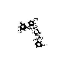 CC(=O)c1cccc(NC(=O)N2CCN(S(=O)(=O)c3cc(C#N)ccc3Oc3cc(Cl)cc(Cl)c3)CC2)c1